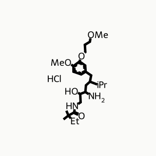 CCC(C)(C)C(=O)NCC(O)C(N)CC(Cc1ccc(OC)c(OCCCOC)c1)C(C)C.Cl